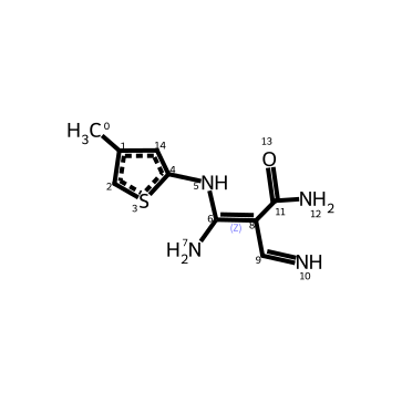 Cc1csc(N/C(N)=C(/C=N)C(N)=O)c1